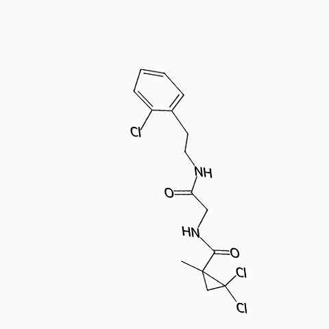 CC1(C(=O)NCC(=O)NCCc2ccccc2Cl)CC1(Cl)Cl